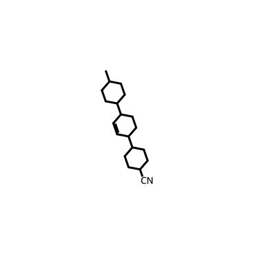 CC1CCC(C2C=CC(C3CCC(C#N)CC3)CC2)CC1